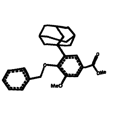 COC(=O)c1cc(OC)c(OCc2ccccc2)c(C23CC4CC(CC(C4)C2)C3)c1